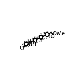 COC(=O)CC1CCC(c2ccc(-c3ccc(-c4nc5ccc(Cl)cc5[nH]4)nc3)cc2)CC1